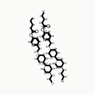 CCCCC(=O)Oc1ccc(CC[C@H]2CC[C@H]([C@H]3CC[C@H](CCC)CC3)CC2)nc1.CCCCC(=O)Oc1ccc(CC[C@H]2CC[C@H]([C@H]3CC[C@H](CCCC)CC3)CC2)nc1